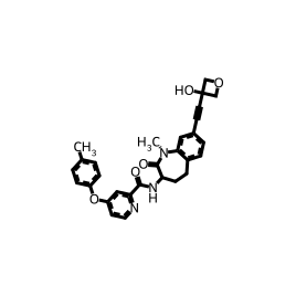 Cc1ccc(Oc2ccnc(C(=O)NC3CCc4ccc(C#CC5(O)COC5)cc4N(C)C3=O)c2)cc1